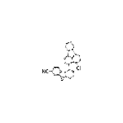 N#Cc1ccc2c(c1)sc1cccc(-c3ccc4c5c(ccc(Cl)c35)-c3ccccc3-4)c12